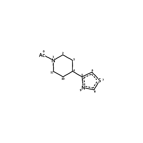 CC(=O)N1CCC(c2cscn2)CC1